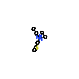 c1ccc(-c2ccc(-c3nc(-c4ccc(-c5cc6ccccc6s5)cc4)nc(-c4ccccc4-c4ccccc4)n3)cc2)cc1